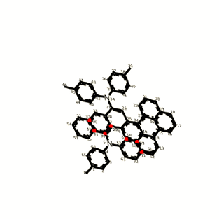 Cc1ccc(N(C(=Cc2cc3cccc4c5cccc6cccc(c(c2C=C(c2ccccc2)N(c2ccc(C)cc2)c2ccc(C)cc2)c34)c65)c2ccccc2)c2ccc(C)cc2)cc1